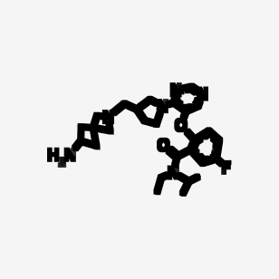 CCN(C(=O)c1cc(F)ccc1Oc1cncnc1N1CCC(CN2CC3(CC(N)C3)C2)C1)C(C)C